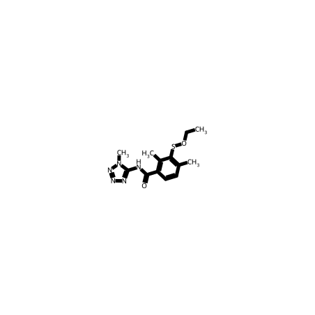 CCOSc1c(C)ccc(C(=O)Nc2nnnn2C)c1C